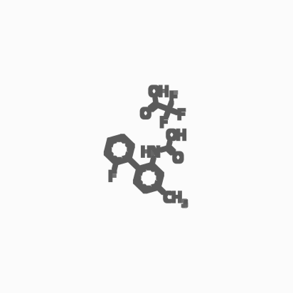 Cc1ccc(-c2ccccc2F)c(NC(=O)O)c1.O=C(O)C(F)(F)F